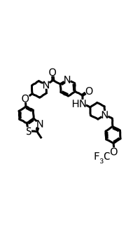 Cc1nc2cc(OC3CCN(C(=O)c4ccc(C(=O)NC5CCN(Cc6ccc(OC(F)(F)F)cc6)CC5)cn4)CC3)ccc2s1